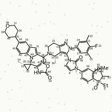 CCP(=O)(c1ccc(-n2ccn(-c3c4c(nn3-c3cc(C)c(F)c(C)c3)CCN(C(=O)c3cc5cc(C6CCOCC6)ccc5n3[C@@]3(c5noc(=O)[nH]5)C[C@@H]3C)[C@H]4C)c2=O)cc1NC)C(C)O